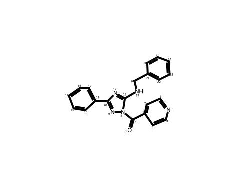 O=C(c1ccncc1)n1nc(-c2ccccc2)nc1NCc1ccccc1